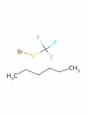 CCCCCC.FC(F)(F)SBr